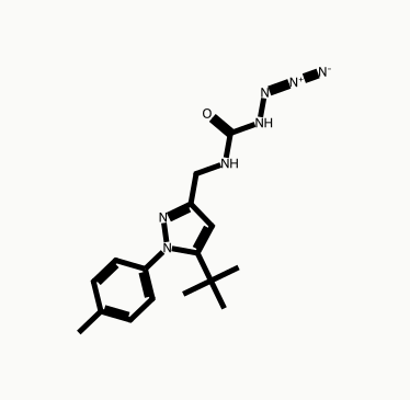 Cc1ccc(-n2nc(CNC(=O)NN=[N+]=[N-])cc2C(C)(C)C)cc1